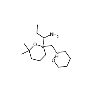 CCC(N)[Si]1(C[SiH]2CCCCO2)CCCC(C)(C)O1